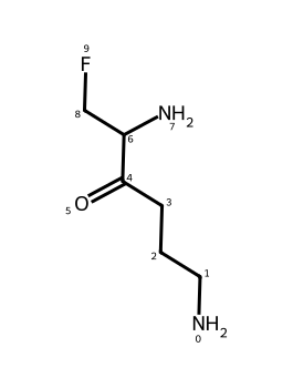 NCCCC(=O)C(N)CF